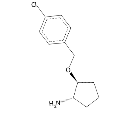 N[C@H]1CCC[C@@H]1OCc1ccc(Cl)cc1